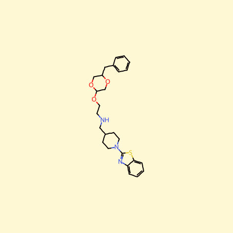 c1ccc(CC2COC(OCCNCC3CCN(c4nc5ccccc5s4)CC3)CO2)cc1